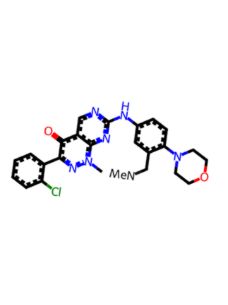 CNCc1cc(Nc2ncc3c(=O)c(-c4ccccc4Cl)nn(C)c3n2)ccc1N1CCOCC1